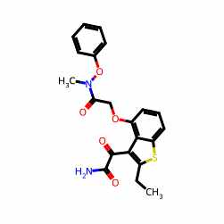 CCc1sc2cccc(OCC(=O)N(C)Oc3ccccc3)c2c1C(=O)C(N)=O